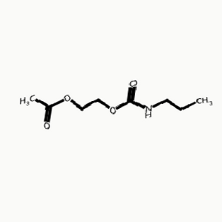 CCCNC(=O)OCCOC(C)=O